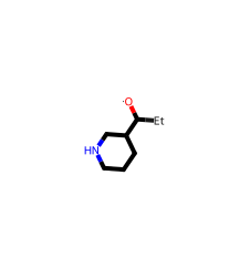 CCC([O])C1CCCNC1